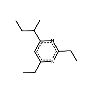 CCc1cc(C(C)CC)nc(CC)n1